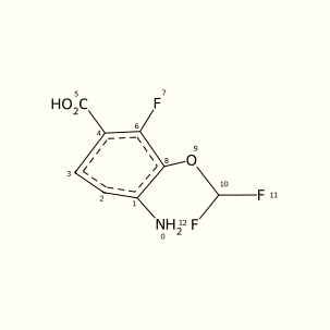 Nc1ccc(C(=O)O)c(F)c1OC(F)F